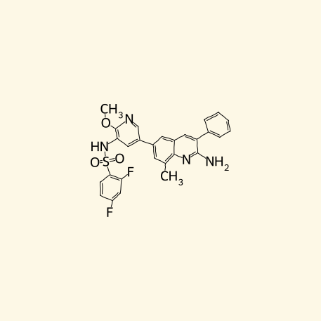 COc1ncc(-c2cc(C)c3nc(N)c(-c4ccccc4)cc3c2)cc1NS(=O)(=O)c1ccc(F)cc1F